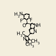 Cc1nn(C)c(C)c1-c1cnc2[nH]cc(C(=O)c3c(F)ccc(N)c3F)c2c1